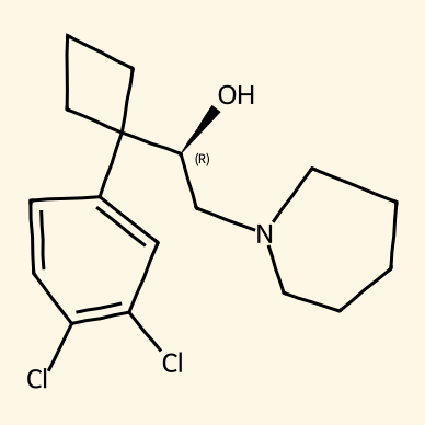 O[C@@H](CN1CCCCC1)C1(c2ccc(Cl)c(Cl)c2)CCC1